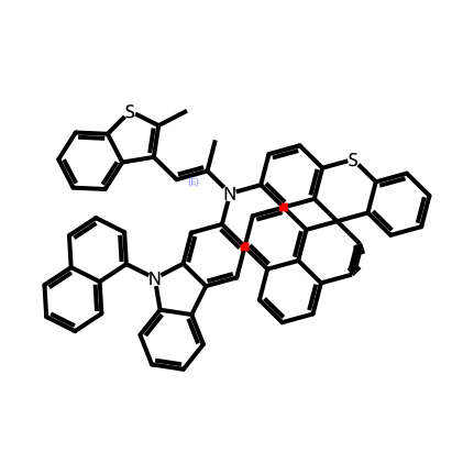 C/C(=C\c1c(C)sc2ccccc12)N(c1ccc2c(c1)C1(c3ccccc3S2)c2ccccc2-c2cccc3cccc1c23)c1ccc2c3ccccc3n(-c3cccc4ccccc34)c2c1